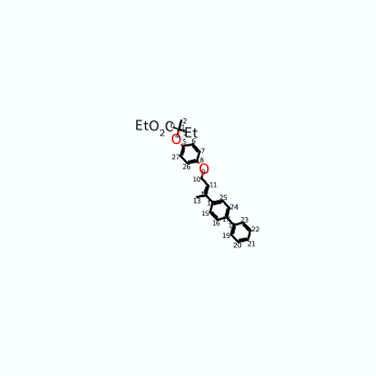 CCOC(=O)[C@@](C)(CC)Oc1ccc(OC/C=C(\C)c2ccc(-c3ccccc3)cc2)cc1